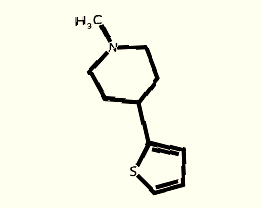 CN1CCC(c2cccs2)CC1